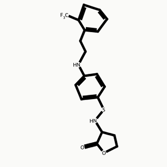 O=C1OCCC1NSc1ccc(NCCc2ccccc2C(F)(F)F)cc1